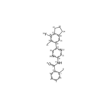 Cc1ccccc1C(=O)Nc1cnc(-c2cc3c(c(F)c2C)CCC3)cn1